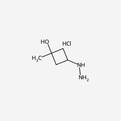 CC1(O)CC(NN)C1.Cl